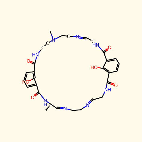 C[C@@H]1/C=N/CC/N=C/CNC(=O)c2cccc(c2O)C(=O)NC/C=N/CCN(C)CCNC(=O)c2cccc(c2O)C(=O)N1